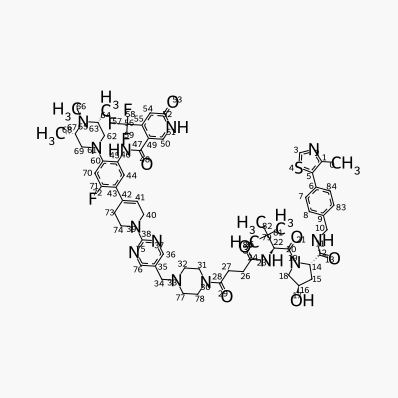 Cc1ncsc1-c1ccc(CNC(=O)[C@@H]2C[C@@H](O)CN2C(=O)[C@@H](NC(=O)CCC(=O)N2CCN(Cc3cnc(N4CC=C(c5cc(NC(=O)c6c[nH]c(=O)cc6C(F)(F)F)c(N6C[C@@H](C)N(C)[C@@H](C)C6)cc5F)CC4)nc3)CC2)C(C)(C)C)cc1